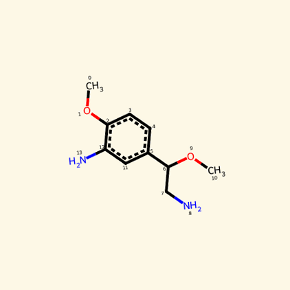 COc1ccc(C(CN)OC)cc1N